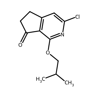 CC(C)COc1nc(Cl)cc2c1C(=O)CC2